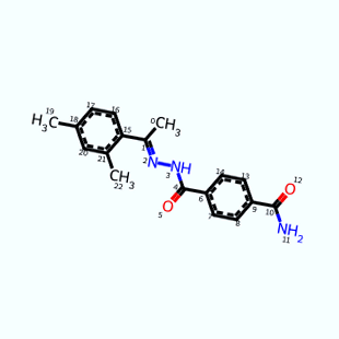 C/C(=N\NC(=O)c1ccc(C(N)=O)cc1)c1ccc(C)cc1C